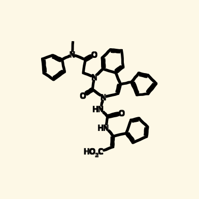 CN(C(=O)CN1C(=O)N(NC(=O)N/C(=C\C(=O)O)c2ccccc2)C=C(c2ccccc2)c2ccccc21)c1ccccc1